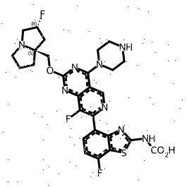 O=C(O)Nc1nc2c(-c3ncc4c(N5CCNCC5)nc(OC[C@@]56CCCN5C[C@H](F)C6)nc4c3F)ccc(F)c2s1